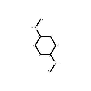 CSC1[CH]CC(SC)[CH]C1